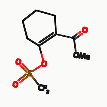 COC(=O)C1=C(OS(=O)(=O)C(F)(F)F)CCCC1